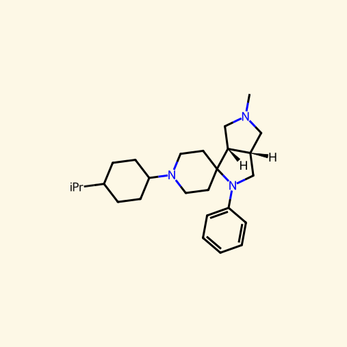 CC(C)C1CCC(N2CCC3(CC2)[C@@H]2CN(C)C[C@@H]2CN3c2ccccc2)CC1